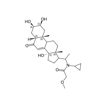 COCC(=O)N(C1CC1)C(C)C1CC[C@@]2(O)C3=CC(=O)[C@@H]4C[C@@H](O)[C@@H](O)C[C@]4(C)C3CC[C@]12C